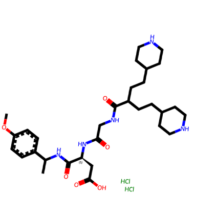 COc1ccc(C(C)NC(=O)[C@H](CC(=O)O)NC(=O)CNC(=O)C(CCC2CCNCC2)CCC2CCNCC2)cc1.Cl.Cl